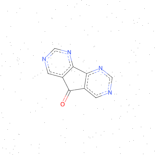 O=C1c2cncnc2-c2ncncc21